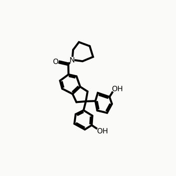 O=C(c1ccc2c(c1)CC(c1cccc(O)c1)(c1cccc(O)c1)C2)N1CCCCC1